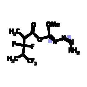 CO/C(=N\N=N/N)OC(=O)C(C)C(F)(F)C(C)C(F)(F)F